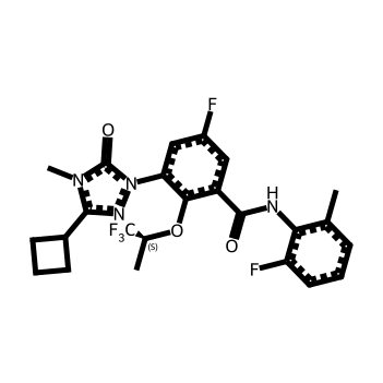 Cc1cccc(F)c1NC(=O)c1cc(F)cc(-n2nc(C3CCC3)n(C)c2=O)c1O[C@@H](C)C(F)(F)F